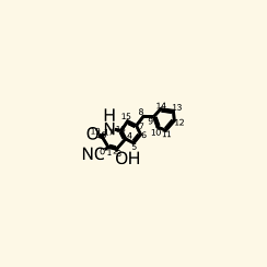 N#Cc1c(O)c2ccc(Cc3ccccc3)cc2[nH]c1=O